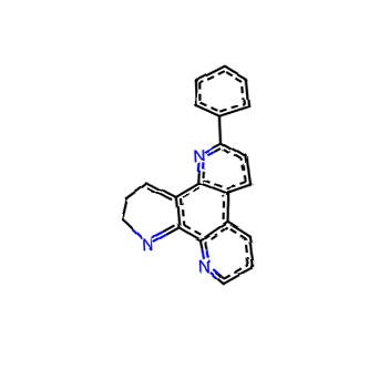 C1=c2c(c3ncccc3c3ccc(-c4ccccc4)nc23)=NCC1